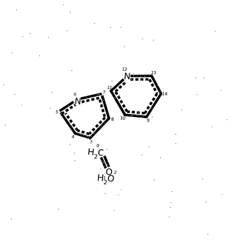 C=O.O.c1ccncc1.c1ccncc1